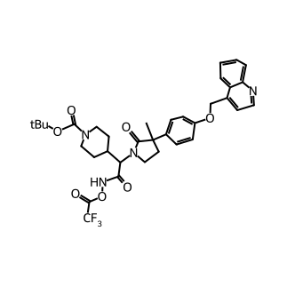 CC(C)(C)OC(=O)N1CCC(C(C(=O)NOC(=O)C(F)(F)F)N2CCC(C)(c3ccc(OCc4ccnc5ccccc45)cc3)C2=O)CC1